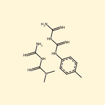 CN(C)C(=N)NC(=N)N.Cc1ccc(NC(=N)NC(=N)N)cc1